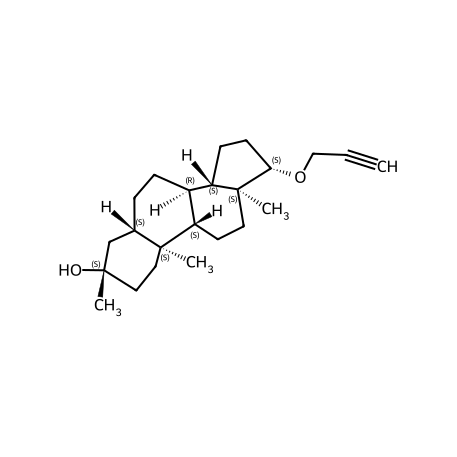 C#CCO[C@H]1CC[C@H]2[C@@H]3CC[C@H]4C[C@@](C)(O)CC[C@]4(C)[C@H]3CC[C@]12C